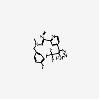 C=N/C(=C\N(C)Cc1ccc(F)cc1)c1cc(-c2nn[nH]c2C(F)(F)F)ccn1